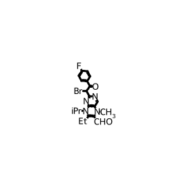 CCC1=C(C=O)N(C)c2cnc(C(Br)C(=O)c3ccc(F)cc3)nc2N1C(C)C